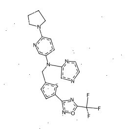 FC(F)(F)c1nc(-c2ccc(CN(c3ccc(N4CCCC4)nc3)c3cnccn3)s2)no1